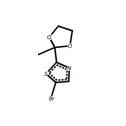 CC1(c2ncc(Br)s2)OCCO1